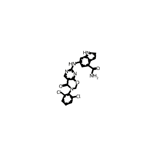 NC(=O)c1cc(Nc2ncc3c(n2)OCN(c2c(Cl)cccc2Cl)C3=O)cc2[nH]ccc12